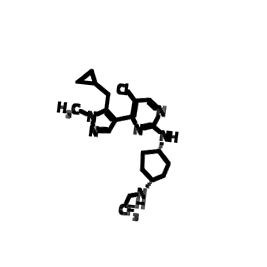 Cn1ncc(-c2nc(N[C@H]3CC[C@@H](NCC(F)(F)F)CC3)ncc2Cl)c1CC1CC1